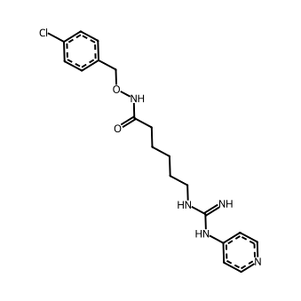 N=C(NCCCCCC(=O)NOCc1ccc(Cl)cc1)Nc1ccncc1